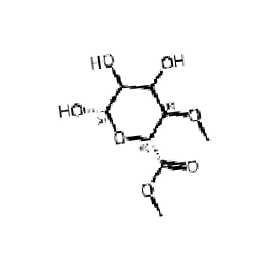 COC(=O)[C@@H]1O[C@H](O)C(O)C(O)[C@H]1OC